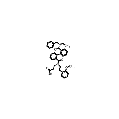 CCN(Cc1ccccc1)C(=O)c1ccccc1-c1ccccc1C(=O)N(CCC(=O)O)CCc1ccccc1OC